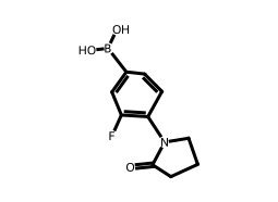 O=C1CCCN1c1ccc(B(O)O)cc1F